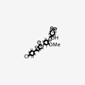 COc1cc(N2Cc3cc(-c4ccc(Cl)cc4)sc3C2=O)ccc1OCC1(O)CCS(=O)(=O)CC1